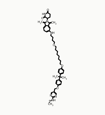 C=c1c2c(c(=C)n1C1CCC(=O)NC1=O)=CC(NCCCCOCCCCCCCCOc1ccc(C(C)(C)c3ccc(OCc4cnc(NSC)nc4)cc3)cc1)=CCC=2